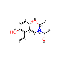 C=CC1=C(O)C=CCC1=CN(C(C)O)C(C)O